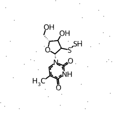 Cc1cn([C@@H]2O[C@H](CO)C(O)C2SS)c(=O)[nH]c1=O